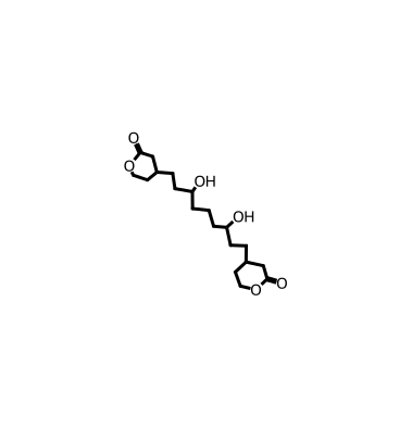 O=C1CC(CCC(O)CCCC(O)CCC2CCOC(=O)C2)CCO1